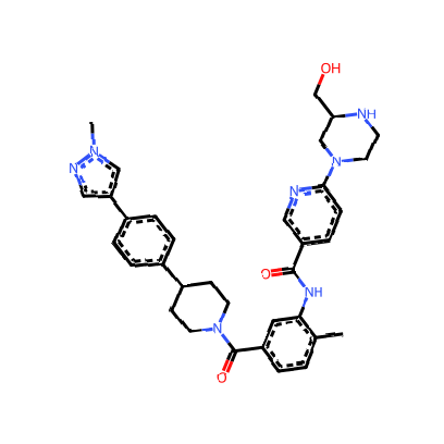 Cc1ccc(C(=O)N2CCC(c3ccc(-c4cnn(C)c4)cc3)CC2)cc1NC(=O)c1ccc(N2CCNC(CO)C2)nc1